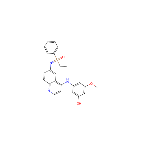 CCS(=O)(=Nc1ccc2nccc(Nc3cc(O)cc(OC)c3)c2c1)c1ccccc1